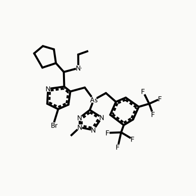 CC[N]C(c1ncc(Br)cc1C[As](Cc1cc(C(F)(F)F)cc(C(F)(F)F)c1)c1nnn(C)n1)C1CCCC1